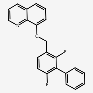 Fc1ccc(COc2cccc3cccnc23)c(F)c1-c1ccccc1